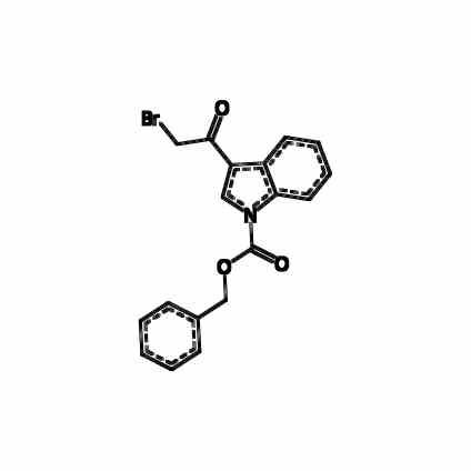 O=C(CBr)c1cn(C(=O)OCc2ccccc2)c2ccccc12